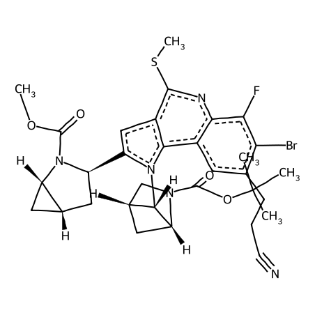 COC(=O)N1[C@@H](c2cc3c(SC)nc4c(F)c(Br)c(CCC#N)cc4c3n2[C@H]2[C@@H]3C[C@H]2N(C(=O)OC(C)(C)C)C3)C[C@@H]2C[C@@H]21